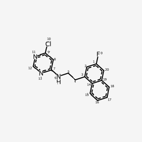 Fc1cc(CCNc2cc(Cl)ncn2)c2ccccc2c1